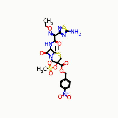 CCON=C(C(=O)NC1C(=O)N2CC(OS(C)(=O)=O)(C(=O)OCc3ccc([N+](=O)[O-])cc3)CS[C@H]12)c1nsc(N)n1